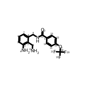 NCc1c(N)cccc1CNC(=O)c1ccc(OC(F)(F)F)cc1